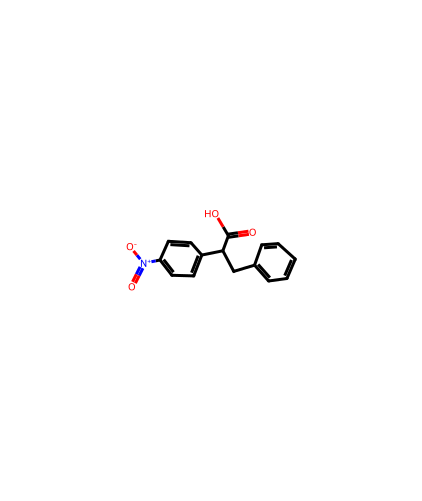 O=C(O)C(Cc1ccccc1)c1ccc([N+](=O)[O-])cc1